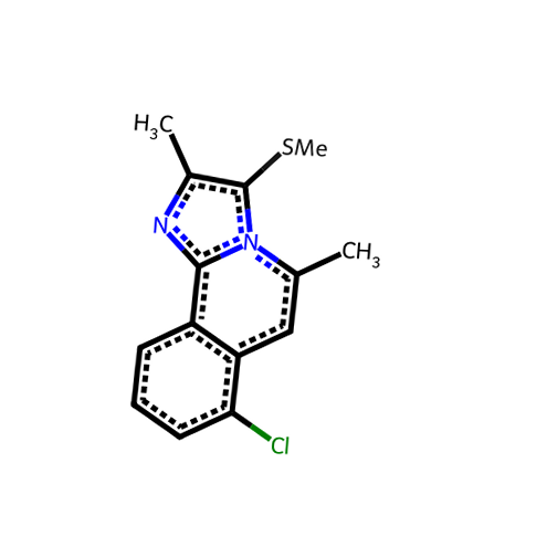 CSc1c(C)nc2c3cccc(Cl)c3cc(C)n12